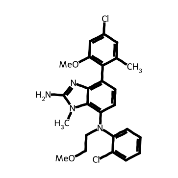 COCCN(c1ccccc1Cl)c1ccc(-c2c(C)cc(Cl)cc2OC)c2nc(N)n(C)c12